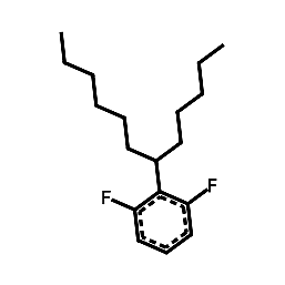 CCCCCCC(CCCCC)c1c(F)cccc1F